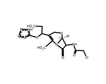 O=C(O)CC(Sc1nnn[nH]1)C1=C(C(=O)O)N2C(=O)C(NC(=O)CCl)[C@@H]2SC1